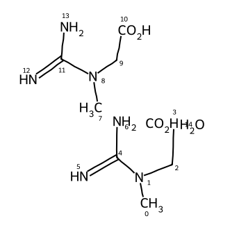 CN(CC(=O)O)C(=N)N.CN(CC(=O)O)C(=N)N.O